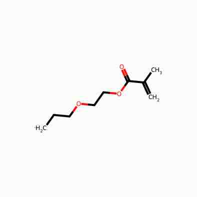 [CH2]CCOCCOC(=O)C(=C)C